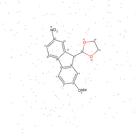 COc1ccc2c(c1)C(C1OCCO1)c1cc([N+](=O)[O-])ccc1-2